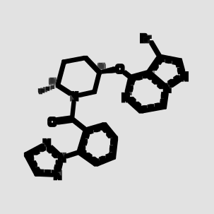 C[C@@H]1CC[C@@H](Oc2nccn3ncc(Br)c23)CN1C(=O)c1ccccc1-n1nccn1